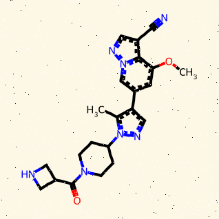 COc1cc(-c2cnn(C3CCN(C(=O)C4CNC4)CC3)c2C)cn2ncc(C#N)c12